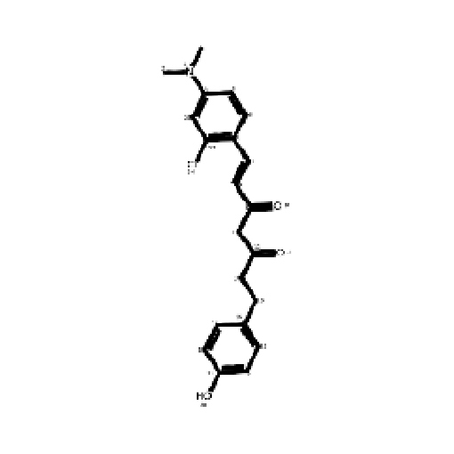 CN(C)c1ccc(C=CC(=O)CC(=O)CCc2ccc(O)cc2)c(Cl)c1